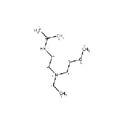 CCN(CCNC(C)C)CCOC